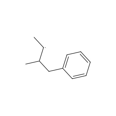 C[CH]C(C)Cc1ccccc1